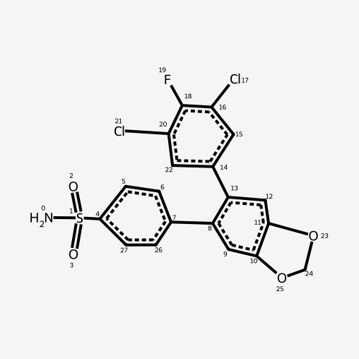 NS(=O)(=O)c1ccc(-c2cc3c(cc2-c2cc(Cl)c(F)c(Cl)c2)OCO3)cc1